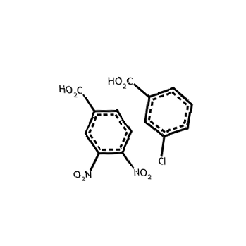 O=C(O)c1ccc([N+](=O)[O-])c([N+](=O)[O-])c1.O=C(O)c1cccc(Cl)c1